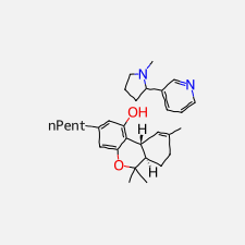 CCCCCc1cc(O)c2c(c1)OC(C)(C)[C@@H]1CCC(C)=C[C@@H]21.CN1CCCC1c1cccnc1